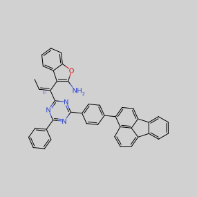 C/C=C(/c1nc(-c2ccccc2)nc(-c2ccc(-c3ccc4c5c(cccc35)-c3ccccc3-4)cc2)n1)c1c(N)oc2ccccc12